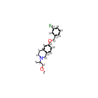 COCC(C)N1CCc2cc(OCc3cccc(F)c3)ccc2C1